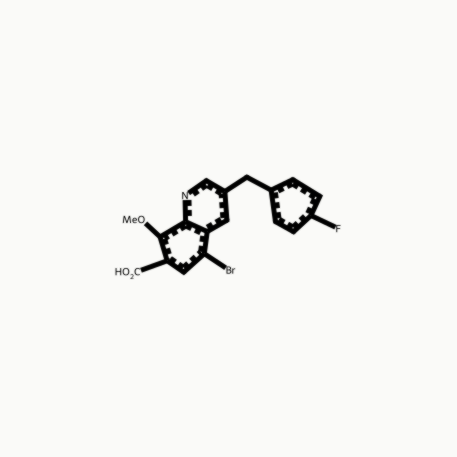 COc1c(C(=O)O)cc(Br)c2cc(Cc3ccc(F)cc3)cnc12